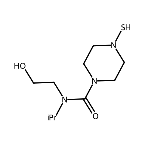 CC(C)N(CCO)C(=O)N1CCN(S)CC1